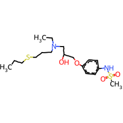 CCCSCCCN(CC)CC(O)COc1ccc(NS(C)(=O)=O)cc1